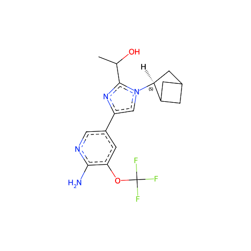 CC(O)c1nc(-c2cnc(N)c(OC(F)(F)F)c2)cn1[C@H]1CC2CC1C2